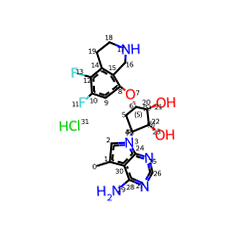 Cc1cn([C@@H]2C[C@H](Oc3cc(F)c(F)c4c3CNCC4)[C@@H](O)[C@H]2O)c2ncnc(N)c12.Cl